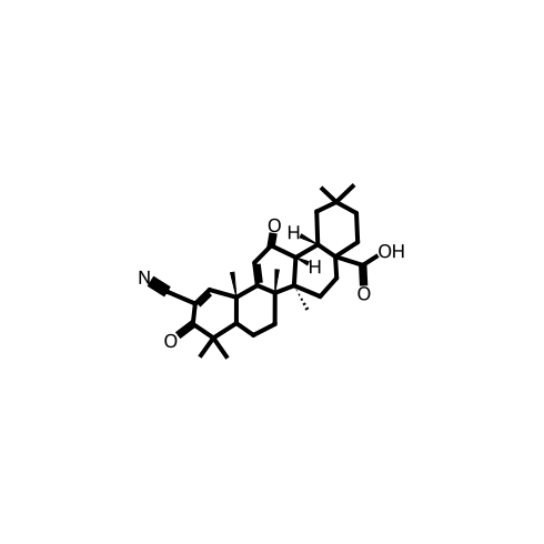 CC1(C)CCC2(C(=O)O)CC[C@]3(C)[C@H](C(=O)C=C4[C@@]5(C)C=C(C#N)C(=O)C(C)(C)C5CC[C@]43C)[C@@H]2C1